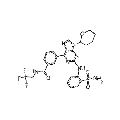 NS(=O)(=O)c1ccccc1Nc1nc(-c2cccc(C(=O)NCC(F)(F)F)c2)c2ncn(C3CCCCO3)c2n1